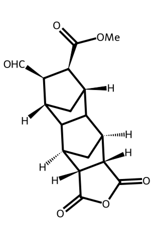 COC(=O)[C@@H]1[C@H](C=O)[C@@H]2C[C@H]1C1C2[C@H]2C[C@@H]1[C@@H]1C(=O)OC(=O)[C@@H]12